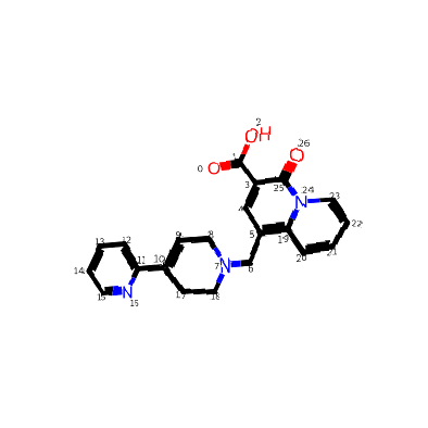 O=C(O)c1cc(CN2CC=C(c3ccccn3)CC2)c2ccccn2c1=O